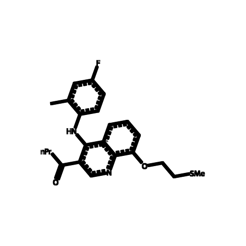 CCCC(=O)c1cnc2c(OCCSC)cccc2c1Nc1ccc(F)cc1C